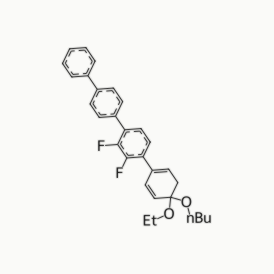 CCCCOC1(OCC)C=CC(c2ccc(-c3ccc(-c4ccccc4)cc3)c(F)c2F)=CC1